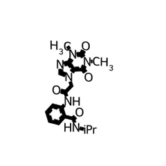 CC(C)NC(=O)c1ccccc1NC(=O)Cn1cnc2c1c(=O)n(C)c(=O)n2C